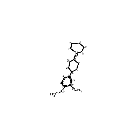 COc1ccc(C2CCC(N3CCCCC3)CC2)cc1C